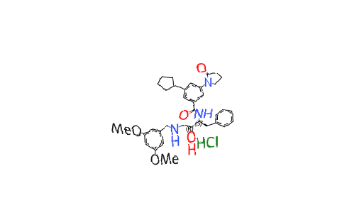 COc1cc(CNC[C@@H](O)[C@H](Cc2ccccc2)NC(=O)c2cc(C3CCCC3)cc(N3CCCC3=O)c2)cc(OC)c1.Cl